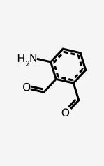 Nc1cccc(C=O)c1C=O